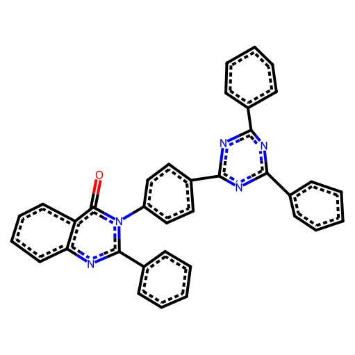 O=c1c2ccccc2nc(-c2ccccc2)n1-c1ccc(-c2nc(-c3ccccc3)nc(-c3ccccc3)n2)cc1